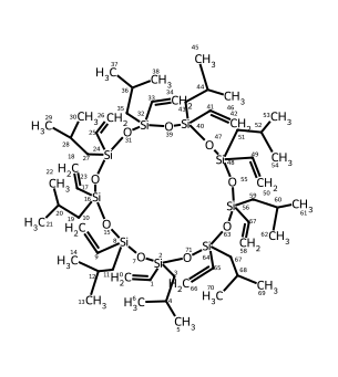 C=C[Si]1(CC(C)C)O[Si](C=C)(CC(C)C)O[Si](C=C)(CC(C)C)O[Si](C=C)(CC(C)C)O[Si](C=C)(CC(C)C)O[Si](C=C)(CC(C)C)O[Si](C=C)(CC(C)C)O[Si](C=C)(CC(C)C)O[Si](C=C)(CC(C)C)O1